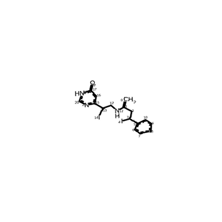 C=C(CC(I)c1ccccc1)NCC(I)c1cc(=O)[nH]cn1